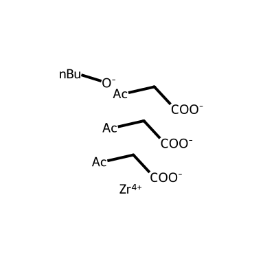 CC(=O)CC(=O)[O-].CC(=O)CC(=O)[O-].CC(=O)CC(=O)[O-].CCCC[O-].[Zr+4]